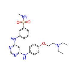 CCN(CC)CCOc1ccc(Nc2cc(Nc3cccc(S(=O)(=O)NC)c3)ncn2)cc1